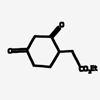 CCOC(=O)CC1CCC(=O)CC1=O